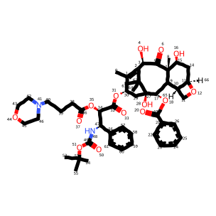 CC1=C2[C@@H](O)C(=O)[C@@]3(C)C([C@@H]4CO[C@@H]4C[C@@H]3O)[C@H](OC(=O)c3ccccc3)[C@](O)(C[C@@H]1OC(=O)[C@H](OC(=O)CCCN1CCOCC1)[C@@H](NC(=O)OC(C)(C)C)c1ccccc1)C2(C)C